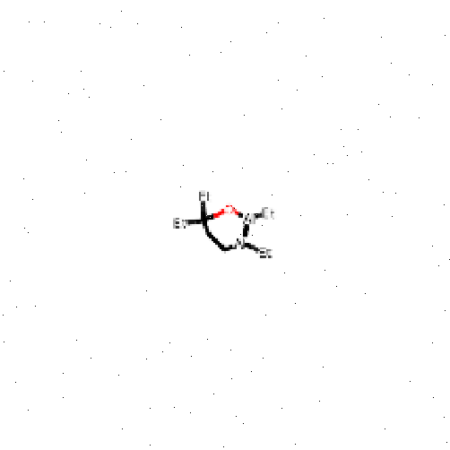 C[CH2][Al]1[CH2]CC(CC)(CC)[O][Al]1[CH2]C